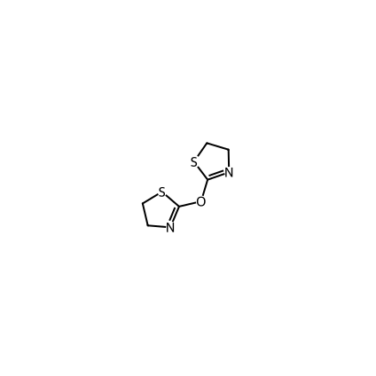 C1CSC(OC2=NCCS2)=N1